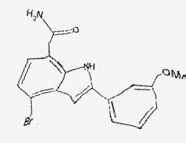 COc1cccc(-c2cc3c(Br)ccc(C(N)=O)c3[nH]2)c1